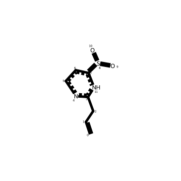 C=CCc1nccc(=S(=O)=O)[nH]1